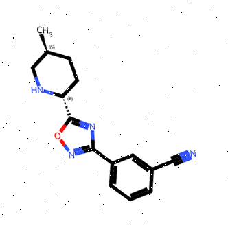 C[C@H]1CC[C@H](c2nc(-c3cccc(C#N)c3)no2)NC1